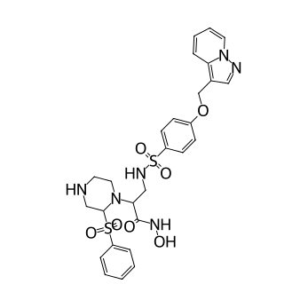 O=C(NO)C(CNS(=O)(=O)c1ccc(OCc2cnn3ccccc23)cc1)N1CCNCC1S(=O)(=O)c1ccccc1